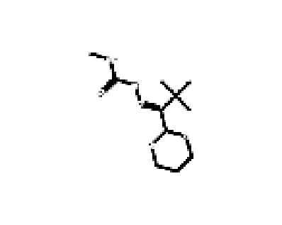 CNC(=O)ON=C(C1SCCCS1)C(C)(C)C